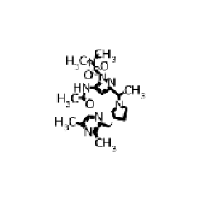 CC(=O)Nc1cc(C(C)N2CC[C@H](Cc3ncc(C)nc3C)C2)nn1S(=O)(=O)N(C)C